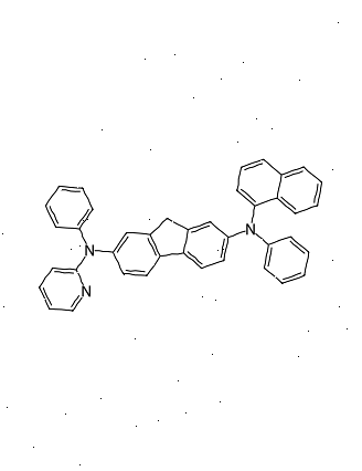 c1ccc(N(c2ccc3c(c2)Cc2cc(N(c4ccccc4)c4cccc5ccccc45)ccc2-3)c2ccccn2)cc1